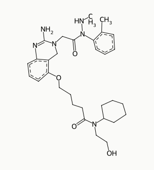 CNN(C(=O)CN1Cc2c(cccc2OCCCCC(=O)N(CCO)C2CCCCC2)N=C1N)c1ccccc1C